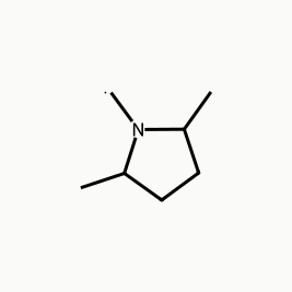 [CH2]N1C(C)CCC1C